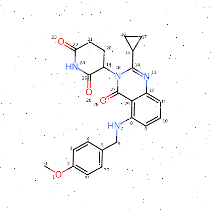 COc1ccc(CNc2cccc3nc(C4CC4)n(C4CCC(=O)NC4=O)c(=O)c23)cc1